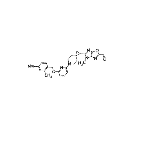 Cc1cc(C#N)ccc1COc1cccc(N2CCC3(CC2)CC3c2nc3oc(C=O)nc3n2C)n1